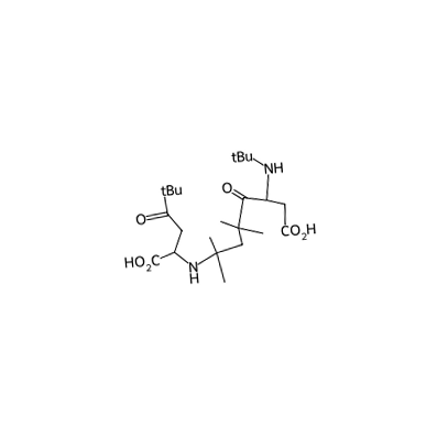 CC(C)(C)NC(CC(=O)O)C(=O)C(C)(C)CC(C)(C)NC(CC(=O)C(C)(C)C)C(=O)O